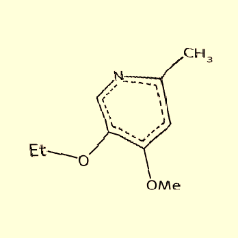 CCOc1cnc(C)cc1OC